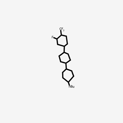 CCCCC1CCC(C2CCC(C3CCC(C(F)(F)F)C(F)C3)CC2)CC1